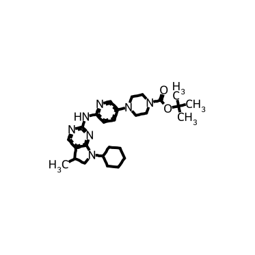 CC1CN(C2CCCCC2)c2nc(Nc3ccc(N4CCN(C(=O)OC(C)(C)C)CC4)cn3)ncc21